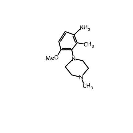 COc1ccc(N)c(C)c1N1CCN(C)CC1